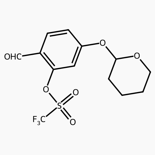 O=Cc1ccc(OC2CCCCO2)cc1OS(=O)(=O)C(F)(F)F